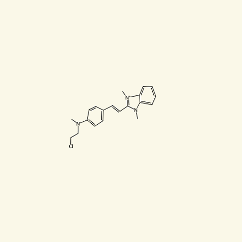 CN(CCCl)c1ccc(C=Cc2n(C)c3ccccc3[n+]2C)cc1